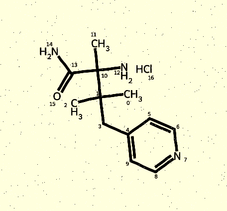 CC(C)(Cc1ccncc1)C(C)(N)C(N)=O.Cl